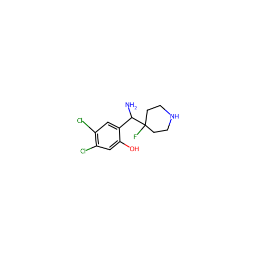 NC(c1cc(Cl)c(Cl)cc1O)C1(F)CCNCC1